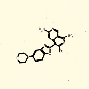 CCc1nc(N)c2cnc(N)cc2c1-c1nc2cc(N3CCOCC3)ccc2o1